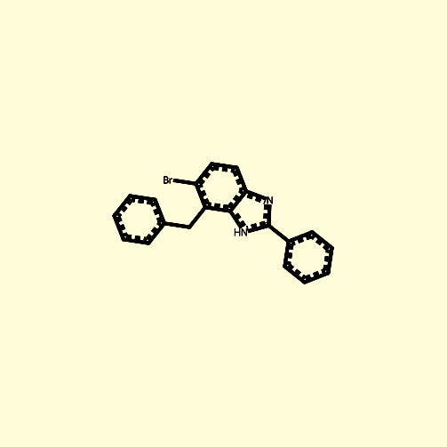 Brc1ccc2nc(-c3ccccc3)[nH]c2c1Cc1ccccc1